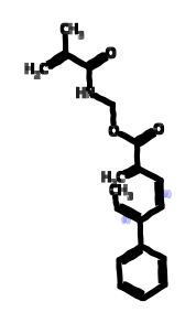 C=C(C)C(=O)NCOC(=O)C(=C)/C=C\C(=C/C)c1ccccc1